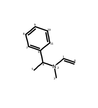 C=CN(C)C(C)c1ccccc1